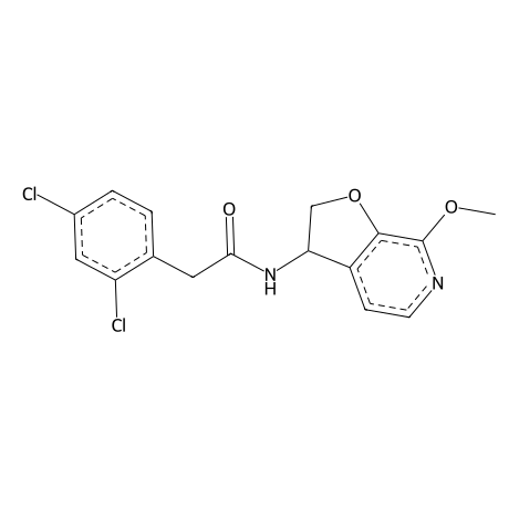 COc1nccc2c1OCC2NC(=O)Cc1ccc(Cl)cc1Cl